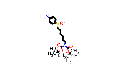 CC(C)(C)OC(=O)N(CCCCCC[S+]([O-])c1ccc(N)cc1)C(=O)OC(C)(C)C